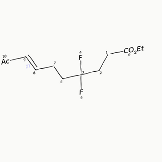 CCOC(=O)CCC(F)(F)CC/C=C/C(C)=O